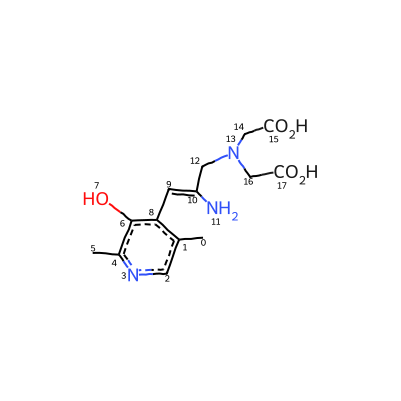 Cc1cnc(C)c(O)c1C=C(N)CN(CC(=O)O)CC(=O)O